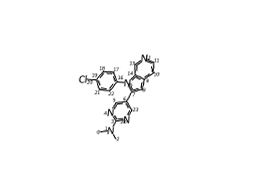 CN(C)c1ncc(-c2cc3ccncc3n2-c2ccc(Cl)cc2)cn1